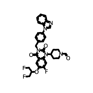 O=CN1CCC(n2c(=O)n(Cc3ccc(-n4cnc5ccccc54)cc3)c(=O)c3cc(OC(CF)CF)c(F)cc32)CC1